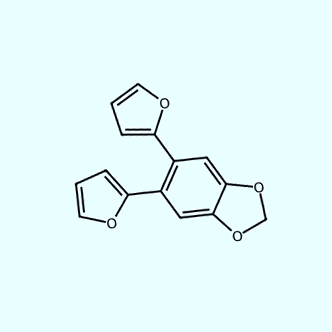 c1coc(-c2cc3c(cc2-c2ccco2)OCO3)c1